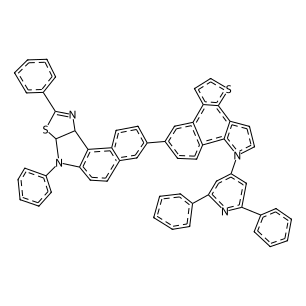 c1ccc(C2=NC3c4c(ccc5cc(-c6ccc7c(c6)c6ccsc6c6ccn(-c8cc(-c9ccccc9)nc(-c9ccccc9)c8)c76)ccc45)N(c4ccccc4)C3S2)cc1